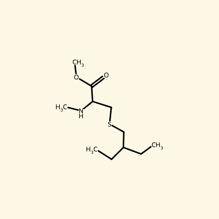 CCC(CC)CSCC(NC)C(=O)OC